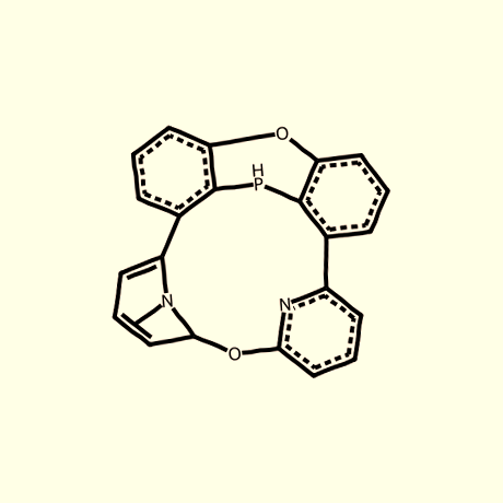 CN1C2=CC=CC1Oc1cccc(n1)-c1cccc3c1Pc1c(cccc12)O3